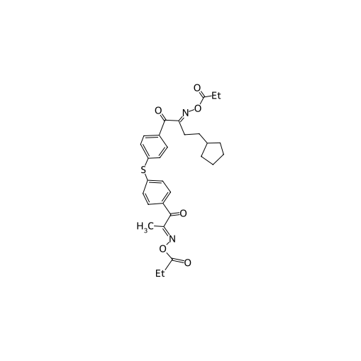 CCC(=O)O/N=C(\C)C(=O)c1ccc(Sc2ccc(C(=O)/C(CCC3CCCC3)=N/OC(=O)CC)cc2)cc1